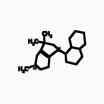 C[C@H]1CCC2=C(C1)C(C)(C)CN2C1CCCC2CCCCC21